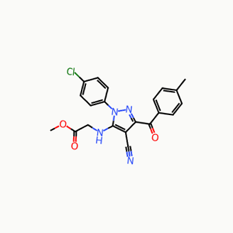 COC(=O)CNc1c(C#N)c(C(=O)c2ccc(C)cc2)nn1-c1ccc(Cl)cc1